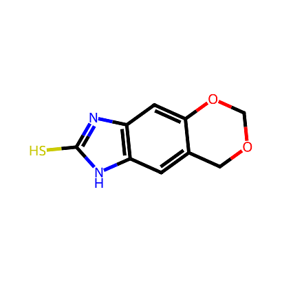 Sc1nc2cc3c(cc2[nH]1)COCO3